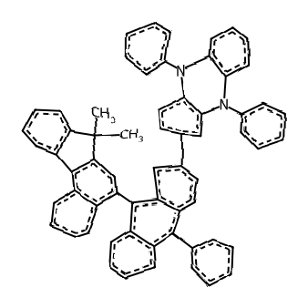 CC1(C)c2ccccc2-c2c1cc(-c1c3ccccc3c(-c3ccccc3)c3ccc(-c4ccc5c(c4)N(c4ccccc4)c4ccccc4N5c4ccccc4)cc13)c1ccccc21